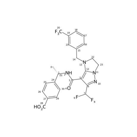 C[C@H](NC(=O)c1c(C(F)F)nn2c1N(Cc1cccc(C(F)(F)F)c1)CC2)c1ccc(C(=O)O)cc1